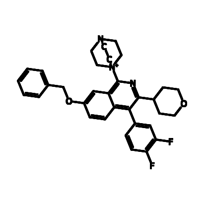 Fc1ccc(-c2c(C3CCOCC3)nc([N+]34CCN(CC3)CC4)c3cc(OCc4ccccc4)ccc23)cc1F